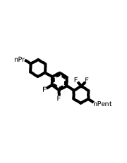 CCCCCC1CCC(c2ccc(C3CCC(CCC)CC3)c(F)c2F)C(F)(F)C1